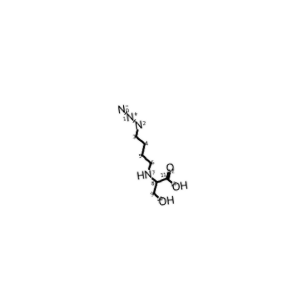 [N-]=[N+]=NCCCCNC(CO)C(=O)O